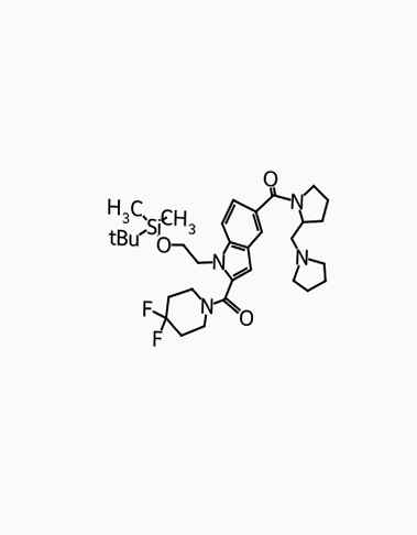 CC(C)(C)[Si](C)(C)OCCn1c(C(=O)N2CCC(F)(F)CC2)cc2cc(C(=O)N3CCCC3CN3CCCC3)ccc21